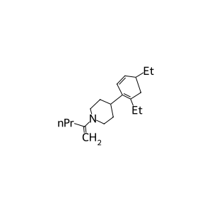 C=C(CCC)N1CCC(C2=C(CC)CC(CC)C=C2)CC1